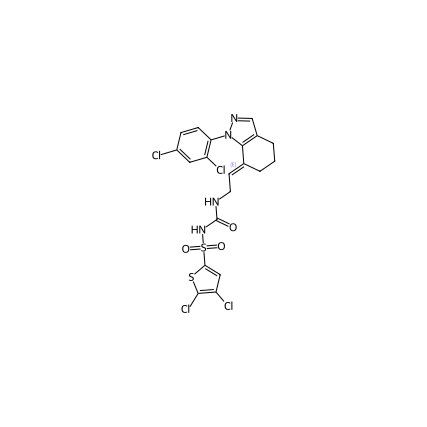 O=C(NC/C=C1\CCCc2cnn(-c3ccc(Cl)cc3Cl)c21)NS(=O)(=O)c1cc(Cl)c(Cl)s1